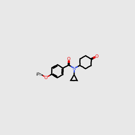 CC(C)Oc1ccc(C(=O)N(C2CCC(=O)CC2)C2CC2)cc1